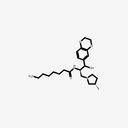 CCCCCCCC(=O)N[C@H](CN1CC[C@H](F)C1)C(O)c1ccc2c(c1)OCCO2